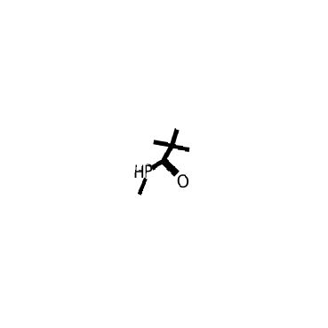 CPC(=O)C(C)(C)C